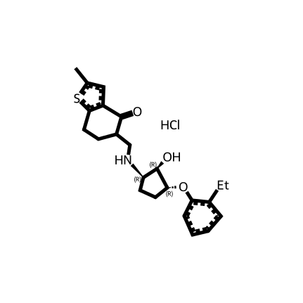 CCc1ccccc1O[C@@H]1CC[C@@H](NCC2CCc3sc(C)cc3C2=O)[C@H]1O.Cl